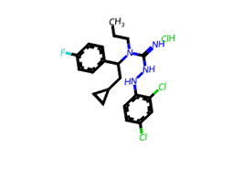 CCCN(C(=N)NNc1ccc(Cl)cc1Cl)C(CC1CC1)c1ccc(F)cc1.Cl